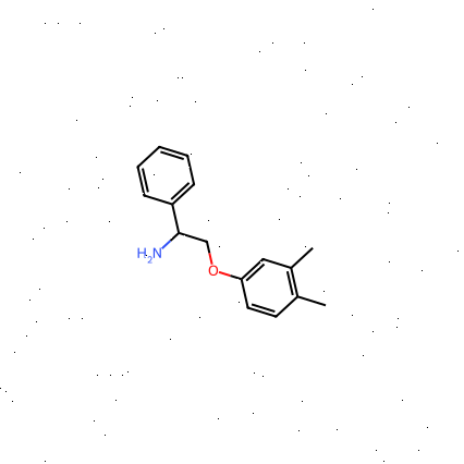 Cc1ccc(OCC(N)c2ccccc2)cc1C